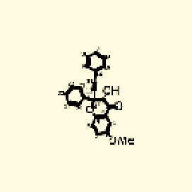 COc1ccc2c(c1)C(=O)[C@@H](O)[C@@](C#Cc1ccccc1)(c1ccccc1)O2